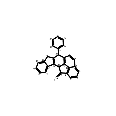 O=C1c2cccc3ccc4c(c23)C1C1=C(Cc2ccccc21)C4c1ccccc1